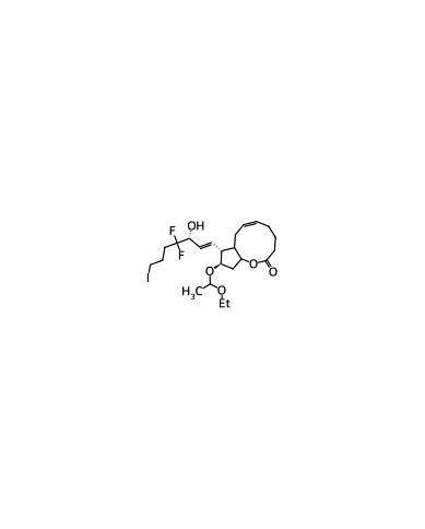 CCOC(C)O[C@@H]1CC2OC(=O)CCC/C=C\CC2[C@H]1/C=C/[C@@H](O)C(F)(F)CCCI